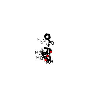 C[C@H]1[C@@H]2C[C@@H]3[C@H]1[C@](O)(C[C@@H]2C)[C@@]1(O)[C@@H](C)[C@@H]2[C@]4(COC(=O)c5ccccc5N)C=N[C@H]1[C@]32[C@@H](C)CC4